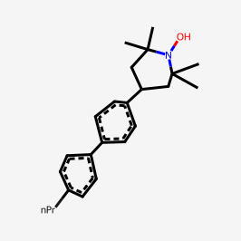 CCCc1ccc(-c2ccc(C3CC(C)(C)N(O)C(C)(C)C3)cc2)cc1